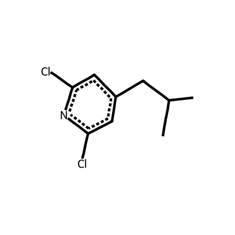 CC(C)Cc1cc(Cl)nc(Cl)c1